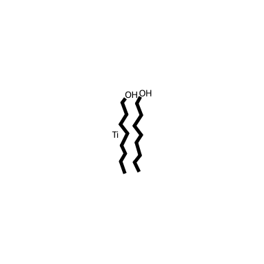 CCCCCCCCO.CCCCCCCCO.[Ti]